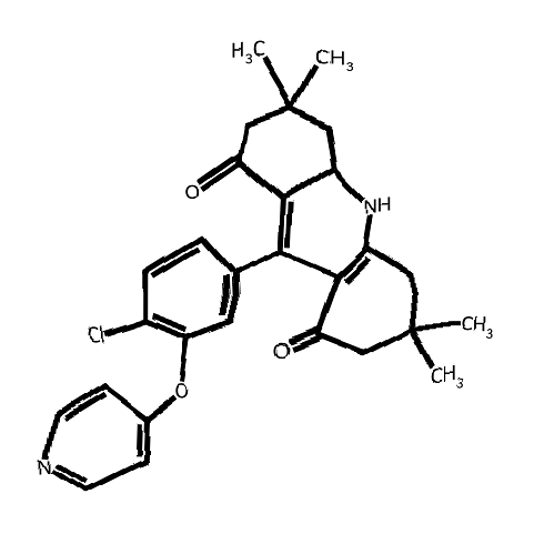 CC1(C)CC(=O)C2=C(C1)NC1CC(C)(C)CC(=O)C1=C2c1ccc(Cl)c(Oc2ccncc2)c1